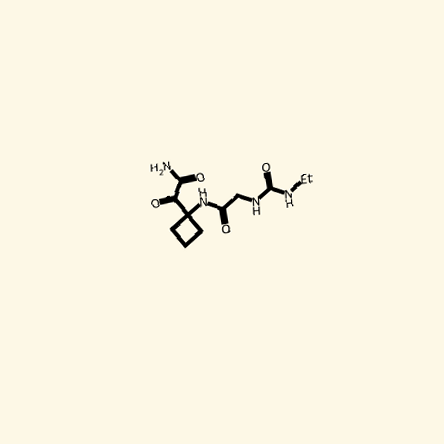 CCNC(=O)NCC(=O)NC1(C(=O)C(N)=O)CCC1